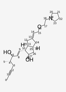 CC#CC[C@H](C)[C@@H](O)/C=C/[C@@H]1[C@H]2CC(=CCOCCN3CCCC3)C[C@H]2C[C@H]1O